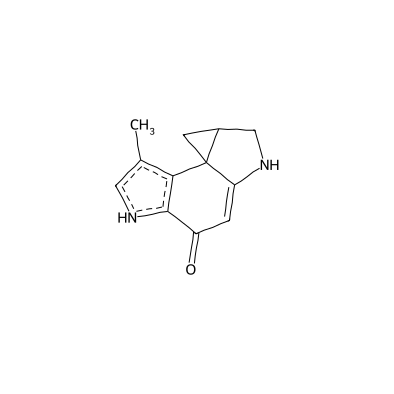 Cc1c[nH]c2c1C13CC1CNC3=CC2=O